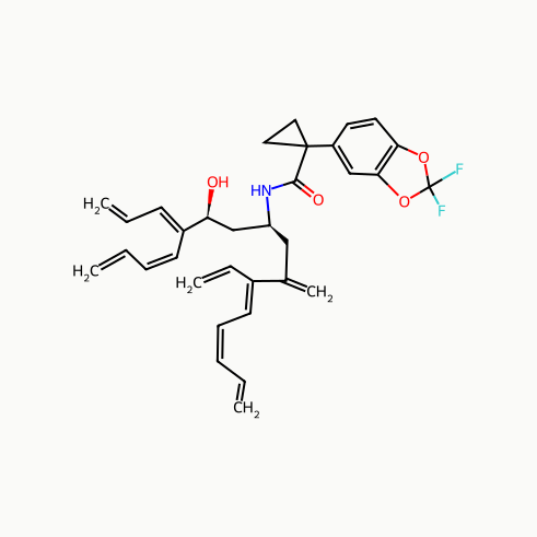 C=C/C=C\C=C(/C=C)C(=C)C[C@@H](C[C@H](O)C(/C=C\C=C)=C/C=C)NC(=O)C1(c2ccc3c(c2)OC(F)(F)O3)CC1